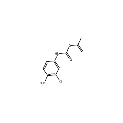 Bc1ccc(NC(=O)OC(=C)C)cc1Cl